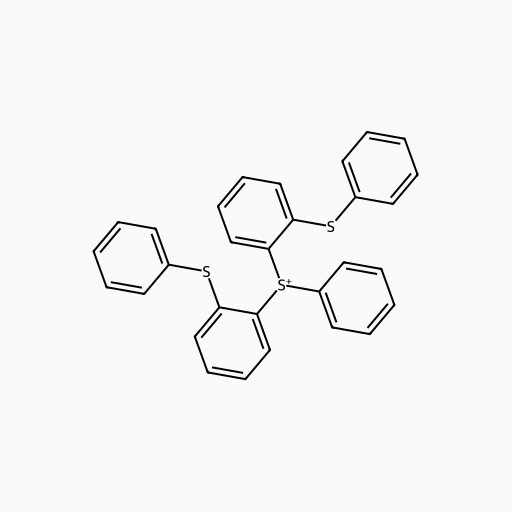 c1ccc(Sc2ccccc2[S+](c2ccccc2)c2ccccc2Sc2ccccc2)cc1